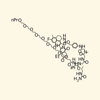 CCCOCCOCCOCCOCCOCCOCCOCCOCCOCCC(=O)NC(C(=O)N[C@@H](CCCNC(N)=O)C(=O)NCC(=O)N(C)CC(=O)Nc1ccc(COC(=O)N[C@H]2CCc3c(C)c(F)cc4nc5c(c2c34)Cn2c-5cc3c(c2=O)COC(=O)[C@@H]3CC)cc1)C(C)C